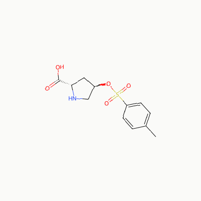 Cc1ccc(S(=O)(=O)O[C@H]2CN[C@H](C(=O)O)C2)cc1